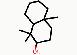 CC12CCCCC1C(C)(C)C(O)CC2